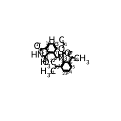 CCOC(=O)N(Cc1cccc2c1C(=O)NC2=O)c1c(C(C)C)cccc1C(C)C